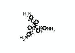 Nc1ccc(Oc2ccccc2OB(Oc2ccccc2Oc2ccc(N)cc2F)Oc2ccccc2Oc2ccc(N)cc2F)c(F)c1